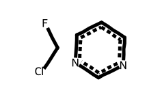 FCCl.c1cncnc1